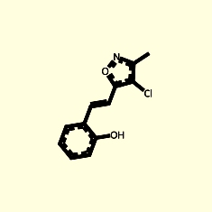 Cc1noc(C=Cc2ccccc2O)c1Cl